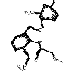 CCC(=O)Nc1c(CC)cccc1COc1ccc(C)cc1C